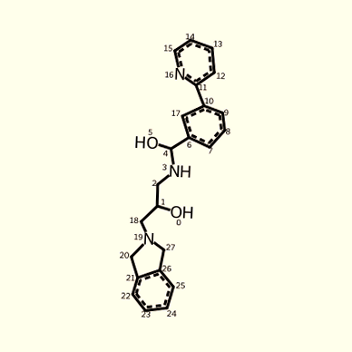 OC(CNC(O)c1cccc(-c2ccccn2)c1)CN1Cc2ccccc2C1